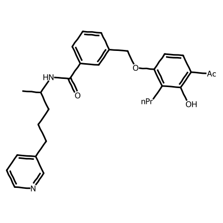 CCCc1c(OCc2cccc(C(=O)NC(C)CCCc3cccnc3)c2)ccc(C(C)=O)c1O